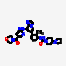 Cc1c(NC(=O)N2CCC(N3CCCC3)CC2)cccc1-c1cc(Nc2ccc(C(=O)N3CCOCC3)cn2)c2nccn2c1